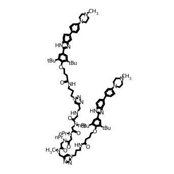 CCCN(CC(=O)N(C)Cc1cn(CCCNC(=O)CCCOc2c(C(C)(C)C)cc(-c3nc4cc(-c5ccc(N6CCN(C)CC6)cc5)ccc4[nH]3)cc2C(C)(C)C)nn1)C(=O)CN(CCC)C(=O)CN(CCC)C(=O)CNCc1cn(CCCNC(=O)CCCOc2c(C(C)(C)C)cc(-c3nc4cc(-c5ccc(N6CCN(C)CC6)cc5)ccc4[nH]3)cc2C(C)(C)C)nn1